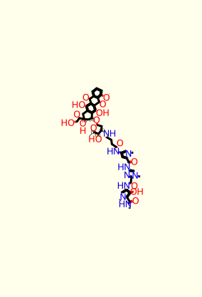 CNC(=O)c1c(O)c(NC(=O)c2nc(NC(=O)c3cc(NC(=O)CCCN[C@H]4CC(O[C@H]5C[C@](O)(C(=O)CO)Cc6c(O)c7c(c(O)c65)C(=O)c5c(OC)cccc5C7=O)O[C@@H](C)[C@H]4O)cn3C)cn2C)cn1C